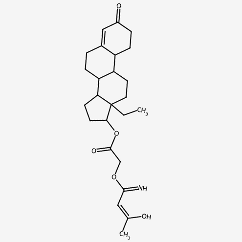 CCC12CCC3C4CCC(=O)C=C4CCC3C1CCC2OC(=O)COC(=N)/C=C(/C)O